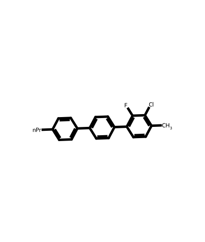 CCCc1ccc(-c2ccc(-c3ccc(C)c(Cl)c3F)cc2)cc1